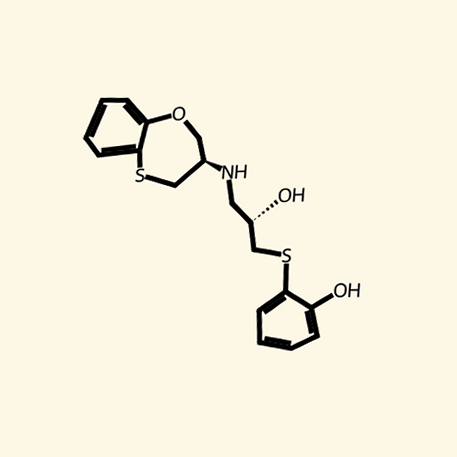 Oc1ccccc1SC[C@@H](O)CN[C@@H]1COc2ccccc2SC1